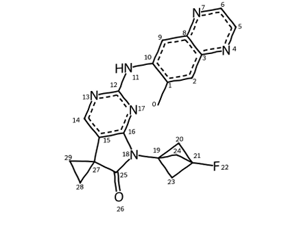 Cc1cc2nccnc2cc1Nc1ncc2c(n1)N(C13CC(F)(C1)C3)C(=O)C21CC1